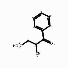 N#CC(CC(=O)O)C(=O)c1ccccc1